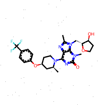 Cc1nc2c(N3CC[C@H](Oc4ccc(C(F)(F)F)cc4)C[C@@H]3C)nc(=O)n(C)c2n1C[C@H]1OCC[C@@H]1O